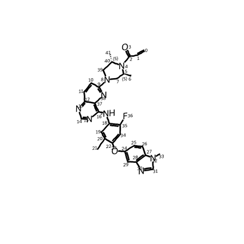 C=CC(=O)N1[C@@H](C)CN(c2ccc3ncnc(Nc4cc(C)c(Oc5ccc6c(c5)ncn6C)cc4F)c3n2)C[C@@H]1C